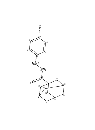 O=C(NNc1ccc(F)cc1)C12CC3CC(CC(C3)C1)C2